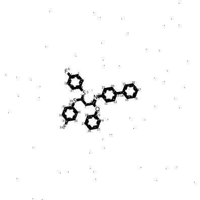 Fc1ccc(SC(CC(=Nc2ccc(-c3ccccc3)cc2)Oc2ccccc2)Sc2ccc(F)cc2)cc1